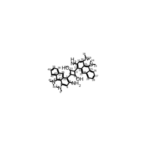 CN(C)c1cc(N)c(C2C(O)C(c3c(N)cc(N(C)C)c4c(N(C)C)c5ccccc5cc34)C2O)c2cc3ccccc3c(N(C)C)c12